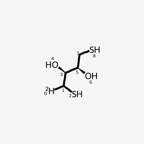 [2H]C(S)[C@@H](O)[C@H](O)CS